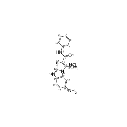 Cc1c(C(=O)Nc2ccccc2)sc2nc3ccc(N)cc3n12.Cl